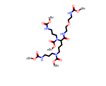 CCCCOC(=O)NCCCN(CCCC(C(=O)NCCOCCNC(=O)OC(C)(C)C)N(CCCNC(=O)OCCCC)C(=O)OCCCC)C(=O)OCCCC